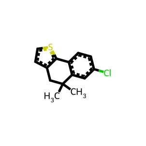 CC1(C)Cc2ccsc2-c2ccc(Cl)cc21